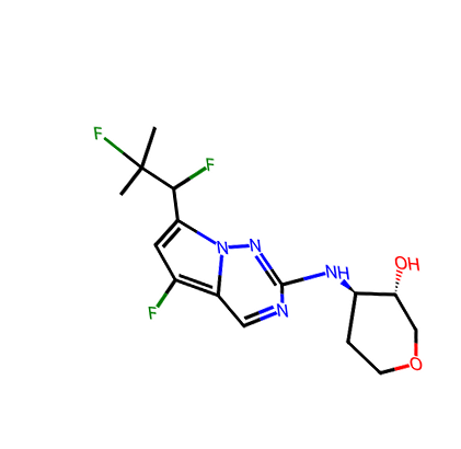 CC(C)(F)C(F)c1cc(F)c2cnc(N[C@@H]3CCOC[C@H]3O)nn12